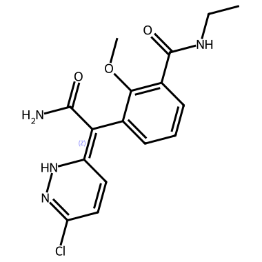 CCNC(=O)c1cccc(/C(C(N)=O)=C2\C=CC(Cl)=NN2)c1OC